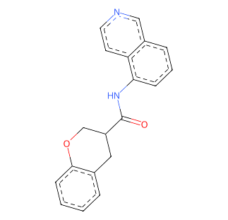 O=C(Nc1cccc2cnccc12)C1COc2ccccc2C1